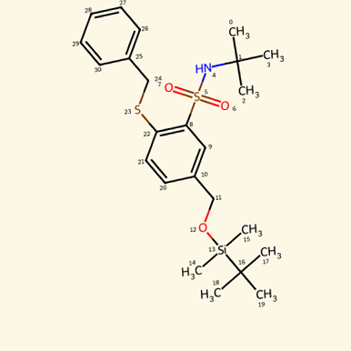 CC(C)(C)NS(=O)(=O)c1cc(CO[Si](C)(C)C(C)(C)C)ccc1SCc1ccccc1